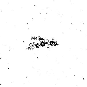 COc1cnc2c(C(=O)Nc3cc(F)c4nc(C)cn4c3)ccc(N3CCC(N(C)C(=O)OC(C)(C)C)C3)c2n1